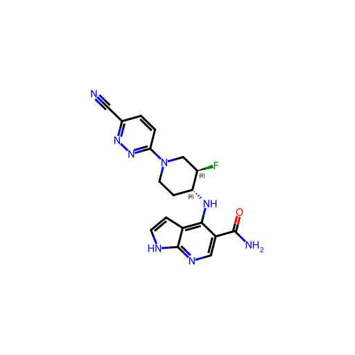 N#Cc1ccc(N2CC[C@@H](Nc3c(C(N)=O)cnc4[nH]ccc34)[C@H](F)C2)nn1